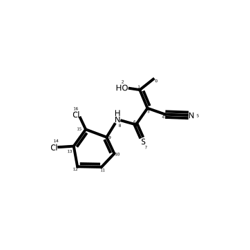 CC(O)=C(C#N)C(=S)Nc1cccc(Cl)c1Cl